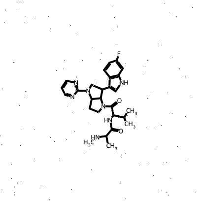 CNC(C)C(=O)NC(C(=O)N1CCC2C1C(c1c[nH]c3cc(F)ccc13)CN2c1ncccn1)C(C)C